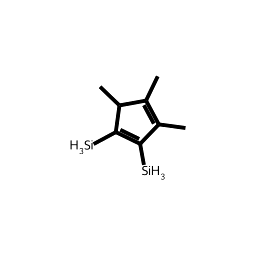 CC1=C(C)C(C)C([SiH3])=C1[SiH3]